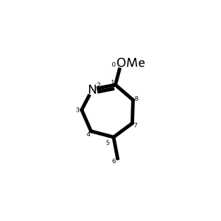 COC1=NCCC(C)CC1